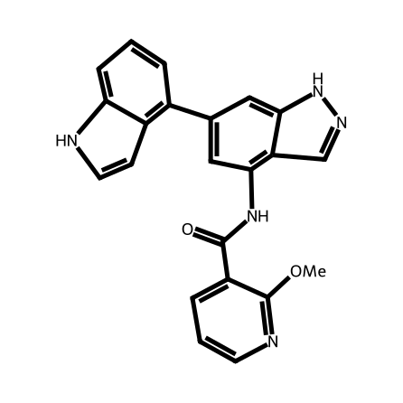 COc1ncccc1C(=O)Nc1cc(-c2cccc3[nH]ccc23)cc2[nH]ncc12